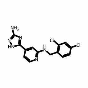 Nc1n[nH]c(-c2ccnc(NCc3ccc(Cl)cc3Cl)c2)n1